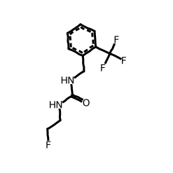 O=C(NCCF)NCc1ccccc1C(F)(F)F